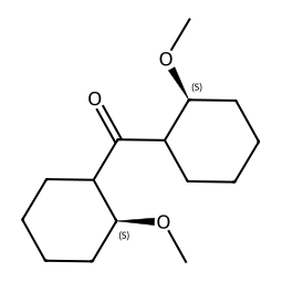 CO[C@H]1CCCCC1C(=O)C1CCCC[C@@H]1OC